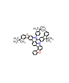 CC(C)(C)c1ccc(N2B3c4cc5c(cc4-n4c6ccc7oc8ccccc8c7c6c6ccc(c3c64)-c3cc4c(cc32)sc2ccc(C(C)(C)C)cc24)C(C)(C)c2ccccc2-5)cc1